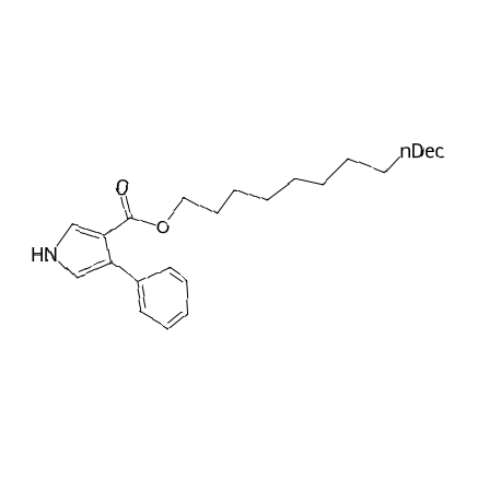 CCCCCCCCCCCCCCCCCCOC(=O)c1c[nH]cc1-c1ccccc1